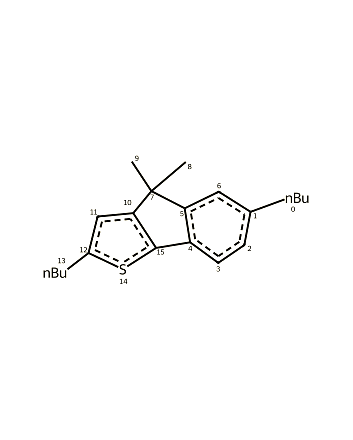 CCCCc1ccc2c(c1)C(C)(C)c1cc(CCCC)sc1-2